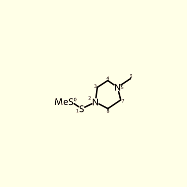 CSSN1CCN(C)CC1